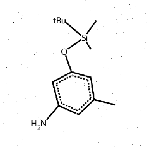 Cc1cc(N)cc(O[Si](C)(C)C(C)(C)C)c1